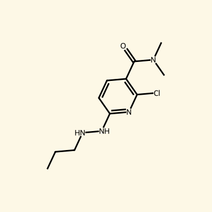 CCCNNc1ccc(C(=O)N(C)C)c(Cl)n1